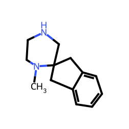 CN1CCNCC12Cc1ccccc1C2